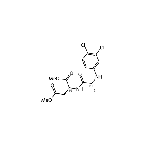 COC(=O)C[C@H](NC(=O)[C@@H](C)Nc1ccc(Cl)c(Cl)c1)C(=O)OC